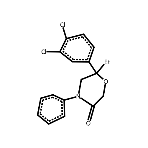 [CH2]CC1(c2ccc(Cl)c(Cl)c2)CN(c2ccccc2)C(=O)CO1